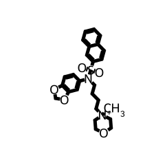 C[N+]1(CCCCN(c2ccc3c(c2)OCO3)S(=O)(=O)c2ccc3ccccc3c2)CCOCC1